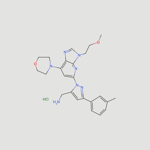 COCCn1cnc2c(N3CCOCC3)cc(-n3nc(-c4cccc(C)c4)cc3CN)nc21.Cl